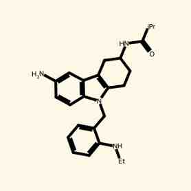 CCNc1ccccc1Cn1c2c(c3cc(N)ccc31)CC(NC(=O)C(C)C)CC2